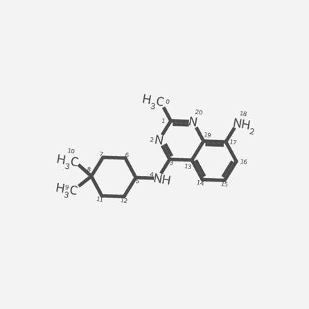 Cc1nc(NC2CCC(C)(C)CC2)c2cccc(N)c2n1